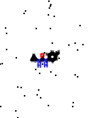 Cc1ccc(NC(=O)NC2CC2)cc1